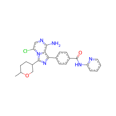 CC1CCC(c2nc(-c3ccc(C(=O)Nc4ccccn4)cc3)c3c(N)ncc(Cl)n23)CO1